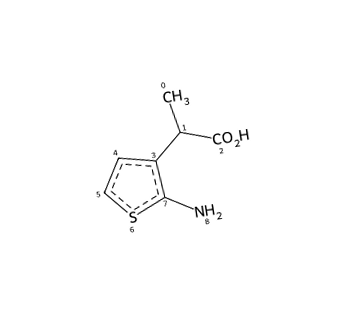 CC(C(=O)O)c1ccsc1N